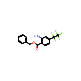 Nc1cc(C(F)(F)C(F)(F)F)ccc1C(=O)OCc1ccccc1